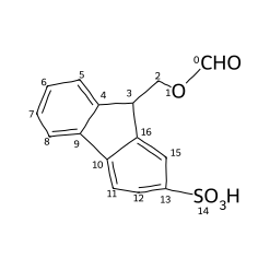 O=COCC1c2ccccc2-c2ccc(S(=O)(=O)O)cc21